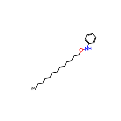 CC(C)CCCCCCCCCCCCONc1ccccc1